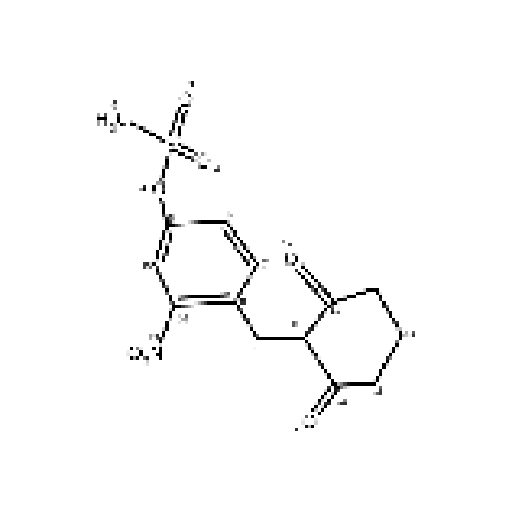 CS(=O)(=O)Oc1ccc(CC2C(=O)CCCC2=O)c([N+](=O)[O-])c1